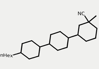 CCCCCCC1CCC(C2CCC(C3CCCC(C)(C#N)C3)CC2)CC1